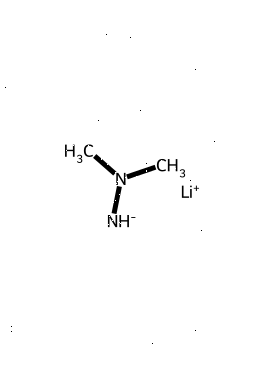 CN(C)[NH-].[Li+]